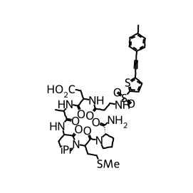 CSCCC(C(=O)N1CCC[C@H]1C(N)=O)N(C)C(=O)C(CC(C)C)NC(=O)C(C)NC(=O)C(CC(=O)O)NC(=O)CCNS(=O)(=O)c1ccc(C#Cc2ccc(C)cc2)s1